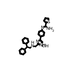 Cl.NC(=Nc1ccc(-c2c[nH]c(CNCC(c3ccccc3)c3ccccc3)n2)cc1)c1cccs1